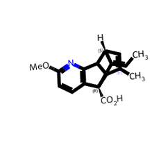 C/C=C1\[C@H]2C=C(C)C3C2c2nc(OC)ccc2[C@]13C(=O)O